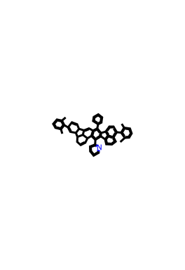 Cc1cccc(C)c1C1=CC2C(C=C1)C1=Cc3c(-c4ccccc4)c4c(c(-c5ccccn5)c3C3C=CCC2C13)-c1cccc2c(-c3c(C)cccc3C)ccc-4c12